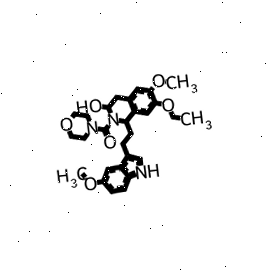 CCOc1cc2c(cc1OC)CC(O)N(C(=O)N1CCOCC1)C2CCc1c[nH]c2ccc(OC)cc12